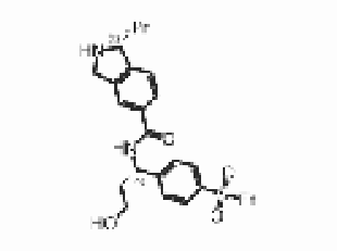 CCS(=O)(=O)c1ccc([C@H](CCO)NC(=O)c2ccc3c(c2)CN[C@@H]3C(C)C)cc1